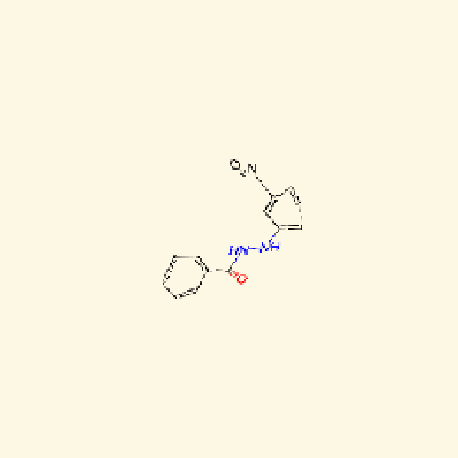 O=C(NNc1cccc([N+](=O)[O-])c1)c1ccccc1